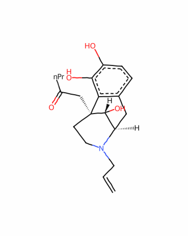 C=CCN1CC[C@@]2(CC(=O)CCC)c3c(ccc(O)c3O)C[C@@H]1[C@H]2O